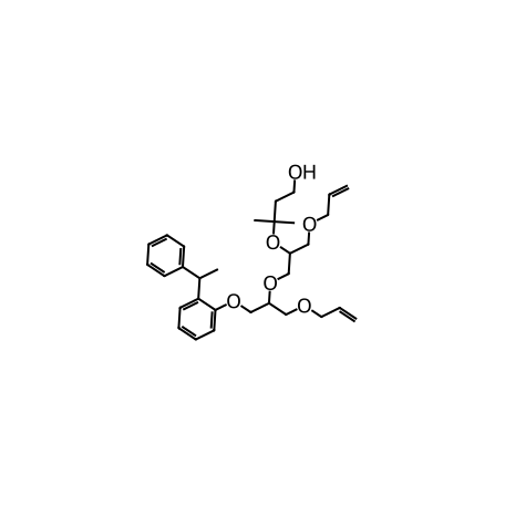 C=CCOCC(COc1ccccc1C(C)c1ccccc1)OCC(COCC=C)OC(C)(C)CCO